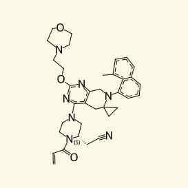 C=CC(=O)N1CCN(c2nc(OCCN3CCOCC3)nc3c2CC2(CC2)N(c2cccc4cccc(C)c24)C3)C[C@@H]1CC#N